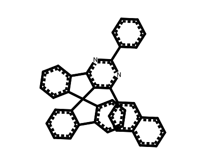 c1ccc(-c2nc(-c3ccc4ccccc4c3)c3c(n2)-c2ccccc2C32c3ccccc3-c3ccccc32)cc1